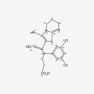 CCCC1=C(C(=O)N(CCC(=O)O)c2cc(Cl)cc(Cl)c2)SC2=NCCCN21.Cl